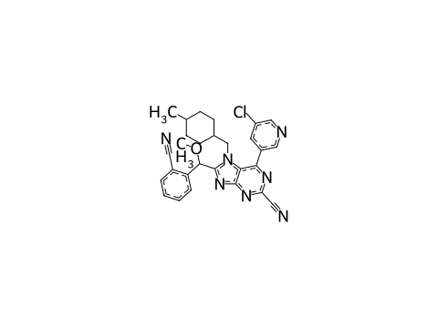 COC(c1ccccc1C#N)c1nc2nc(C#N)nc(-c3cncc(Cl)c3)c2n1CC1CCC(C)CC1